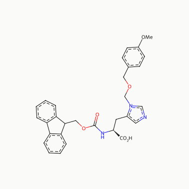 COc1ccc(COCn2cncc2C[C@H](NC(=O)OCC2c3ccccc3-c3ccccc32)C(=O)O)cc1